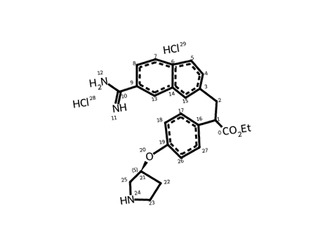 CCOC(=O)C(Cc1ccc2ccc(C(=N)N)cc2c1)c1ccc(O[C@H]2CCNC2)cc1.Cl.Cl